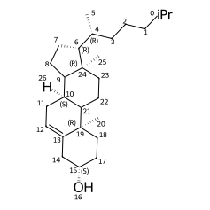 CC(C)CCC[C@@H](C)[C@H]1CCC2[C@@H]3CC=C4C[C@@H](O)CC[C@]4(C)C3CC[C@@]21C